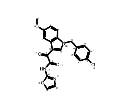 COc1ccc2c(c1)c(C(=O)C(=O)Nc1ncco1)cn2Cc1ccc(Cl)cc1